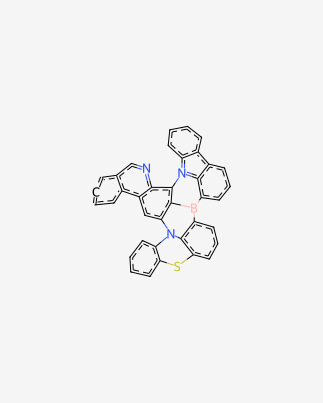 c1ccc2c(c1)Sc1cccc3c1N2c1cc2c(ncc4ccccc42)c2c1B3c1cccc3c4ccccc4n-2c13